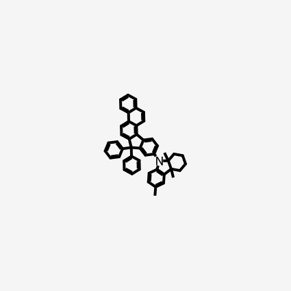 Cc1ccc2c(c1)C1(C)CCCCC1(C)N2c1ccc2c(c1)C(c1ccccc1)(c1ccccc1)c1ccc3c(ccc4ccccc43)c1-2